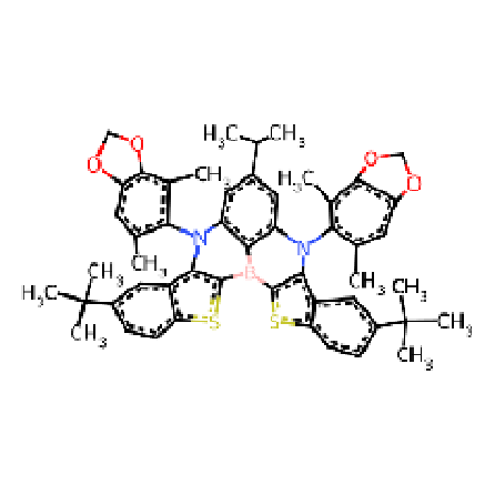 Cc1cc2c(c(C)c1N1c3cc(C(C)C)cc4c3B(c3sc5ccc(C(C)(C)C)cc5c31)c1sc3ccc(C(C)(C)C)cc3c1N4c1c(C)cc3c(c1C)OCO3)OCO2